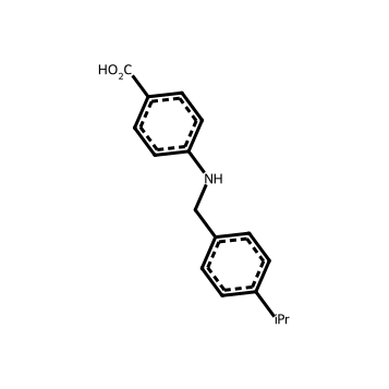 CC(C)c1ccc(CNc2ccc(C(=O)O)cc2)cc1